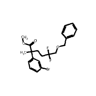 COC(=O)C(C)(CCC(F)(F)COCc1ccccc1)c1cccc(Br)c1